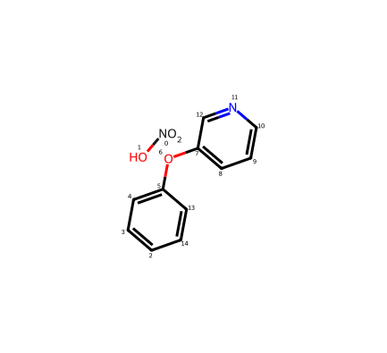 O=[N+]([O-])O.c1ccc(Oc2cccnc2)cc1